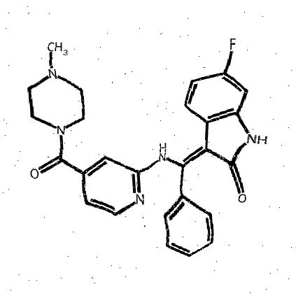 CN1CCN(C(=O)c2ccnc(NC(=C3C(=O)Nc4cc(F)ccc43)c3ccccc3)c2)CC1